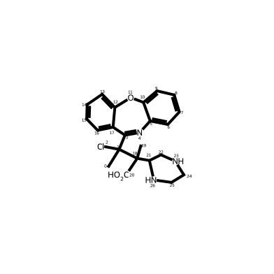 CC(Cl)(C1=Nc2ccccc2Oc2ccccc21)C(C)(C(=O)O)C1CNCCN1